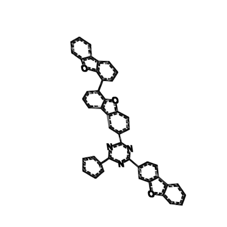 c1ccc(-c2nc(-c3ccc4c(c3)oc3ccccc34)nc(-c3ccc4oc5c(-c6cccc7c6oc6ccccc67)cccc5c4c3)n2)cc1